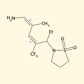 CCC(/C(=C\C(C)=C/N)C(F)(F)F)N1CCCS1(=O)=O